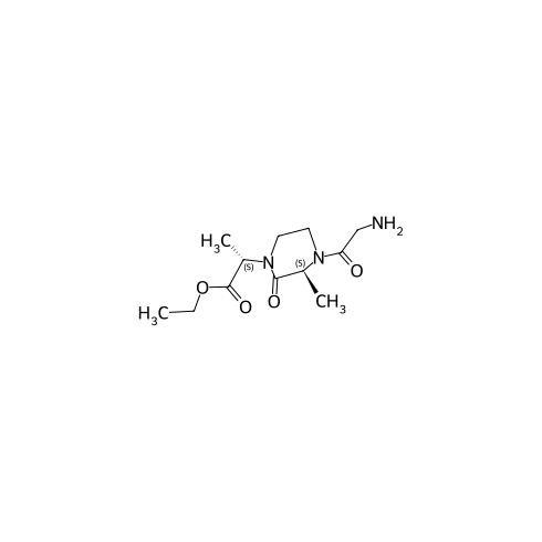 CCOC(=O)[C@H](C)N1CCN(C(=O)CN)[C@@H](C)C1=O